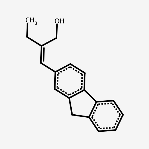 CCC(=Cc1ccc2c(c1)Cc1ccccc1-2)CO